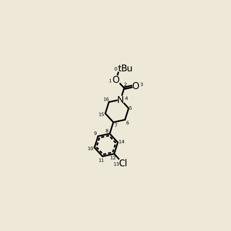 CC(C)(C)OC(=O)N1CC[C](c2cccc(Cl)c2)CC1